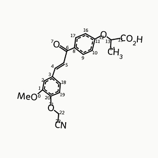 COc1cc(/C=C/C(=O)c2ccc(OC(C)C(=O)O)cc2)ccc1OCC#N